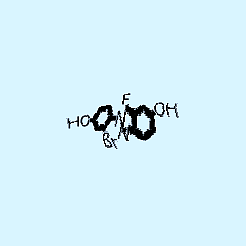 Oc1ccc(-n2nc3ccc(O)cc3c2F)c(Br)c1